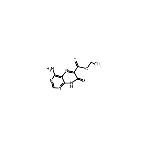 CCOC(=O)c1nc2c(N)ncnc2[nH]c1=O